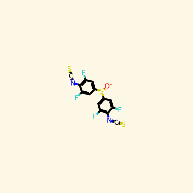 [O-][S+](c1cc(F)c(N=C=S)c(F)c1)c1cc(F)c(N=C=S)c(F)c1